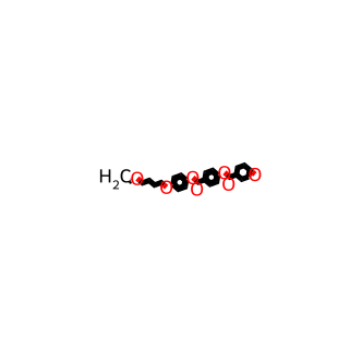 C=COCCCCOc1ccc(OC(=O)c2ccc(OC(=O)C3CCC4OC4C3)cc2)cc1